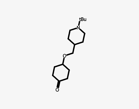 CC(C)(C)N1CCC(COC2CCC(=O)CC2)CC1